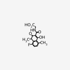 Cc1ccc(F)c2c1C(O)=C(C(=O)NCC(=O)O)C(=O)C2C